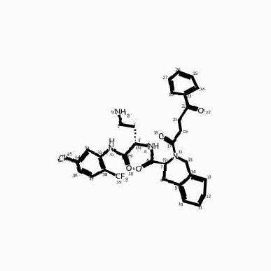 NCC[C@H](NC(=O)[C@@H]1Cc2ccccc2CN1C(=O)CCC(=O)c1ccccc1)C(=O)Nc1cc(Cl)ccc1C(F)(F)F